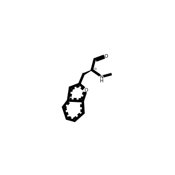 CN[C@H](C=O)Cc1cc2ccccc2o1